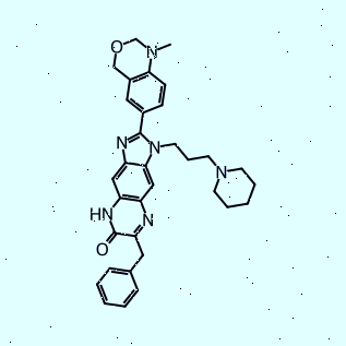 CN1COCc2cc(-c3nc4cc5[nH]c(=O)c(Cc6ccccc6)nc5cc4n3CCCN3CCCCC3)ccc21